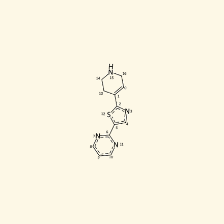 C1=C(c2ncc(-c3ncccn3)s2)CCNC1